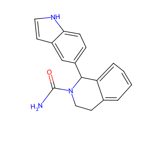 NC(=O)N1CCc2ccccc2C1c1ccc2[nH]ccc2c1